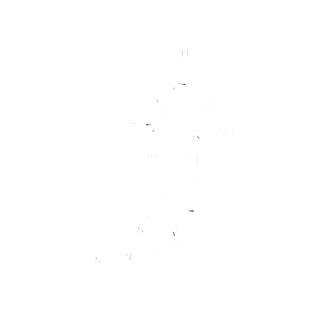 Nc1ccn([C@@H]2O[C@H](COP(=O)(O)O[C@@]3(C(=O)O)C[C@H](O)[C@@H](O)[C@H]([C@H](O)[C@H](O)CO)O3)[C@@H](O)[C@H]2O)c(=O)n1